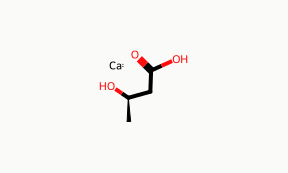 C[C@@H](O)CC(=O)O.[Ca]